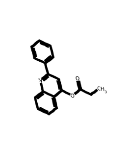 CCC(=O)Oc1cc(-c2ccccc2)nc2ccccc12